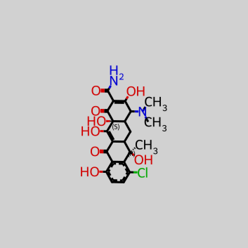 CN(C)C1C(O)=C(C(N)=O)C(=O)[C@@]2(O)C(O)=C3C(=O)c4c(O)ccc(Cl)c4[C@](C)(O)C3CC12